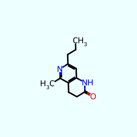 CCCc1cc2c(c(C)n1)CCC(=O)N2